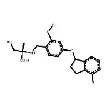 CCOc1cc(OC2CCc3c(C)cccc32)ccc1CN[C@@](C)(CO)C(=O)O